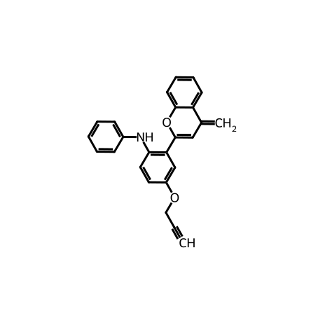 C#CCOc1ccc(Nc2ccccc2)c(C2=CC(=C)c3ccccc3O2)c1